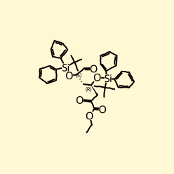 CCOC(=O)C(=O)C[C@@H](C[C@@H](C=O)O[Si](c1ccccc1)(c1ccccc1)C(C)(C)C)O[Si](c1ccccc1)(c1ccccc1)C(C)(C)C